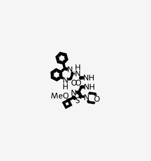 COC1(c2nc(C(=N)OC(=N)N[C@H]3N=C(c4ccccc4)c4ccccc4NC3=O)c(N3CCOCC3)s2)CCC1